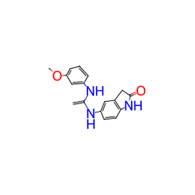 C=C(Nc1cccc(OC)c1)Nc1ccc2c(c1)CC(=O)N2